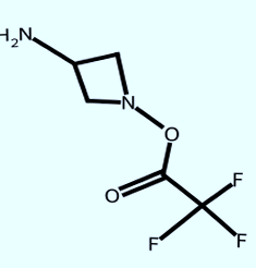 NC1CN(OC(=O)C(F)(F)F)C1